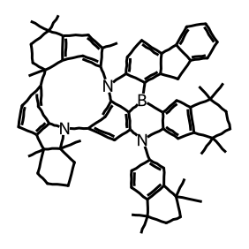 Cc1cc2c3cc1N1c4cc(cc5c4B(c4cc6c(cc4N5c4ccc5c(c4)C(C)(C)CCC5(C)C)C(C)(C)CCC6(C)C)c4c1ccc1c4Cc4ccccc4-1)N1c4cc(ccc4C4(C)CCCCC14C)C3(C)CCC2(C)C